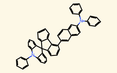 c1ccc(N(c2ccccc2)c2ccc3cc(-c4cccc5c4-c4ccccc4C54c5ccccc5N(c5ccccc5)c5ccccc54)ccc3c2)cc1